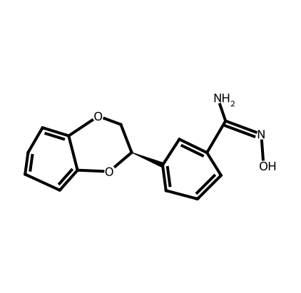 N/C(=N/O)c1cccc([C@@H]2COc3ccccc3O2)c1